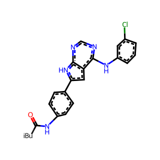 CCC(C)C(=O)Nc1ccc(-c2cc3c(Nc4cccc(Cl)c4)ncnc3[nH]2)cc1